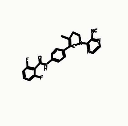 [C-]#[N+]c1nccnc1N1CCC(C)=C(c2ccc(NC(=O)c3c(F)cccc3F)cc2)C1